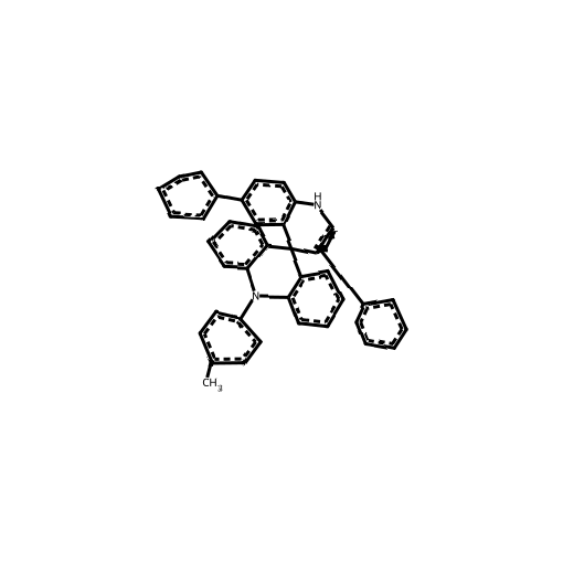 Cc1ccc(N2c3ccccc3C3(c4cc(-c5ccccc5)ccc4Nc4ccc(-c5ccccc5)cc43)c3ccccc32)cc1